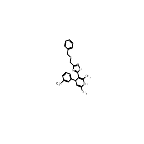 CC1=CC(c2cccc([N+](=O)[O-])c2)C(c2nc(CSCc3ccccc3)no2)=C(C)N1